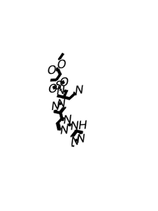 CCOC(=O)CC(C)S(=O)(=O)N1CC(CC#N)(n2cc(-c3ccnc(Nc4cnn(C)c4)n3)cn2)C1